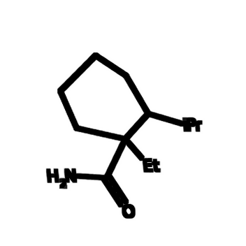 CCC1(C(N)=O)CCCCC1C(C)C